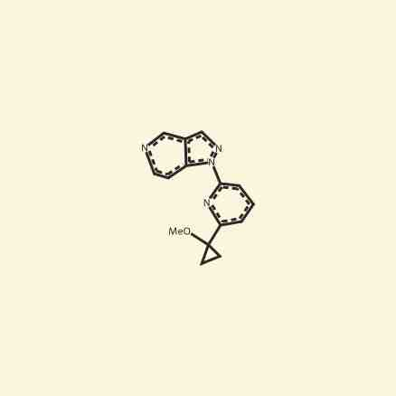 COC1(c2cccc(-n3ncc4cnccc43)n2)CC1